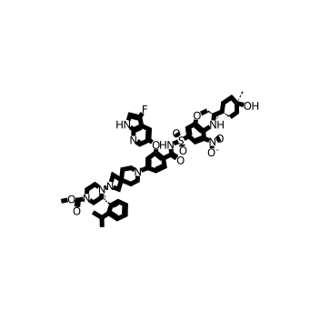 COC(=O)N1CCN(N2CC3(CCN(c4ccc(C(=O)NS(=O)(=O)c5cc6c(c([N+](=O)[O-])c5)N[C@@H]([C@H]5CC[C@](C)(O)CC5)CO6)c(Oc5cnc6[nH]cc(F)c6c5)c4)CC3)C2)[C@H](c2ccccc2C(C)C)C1